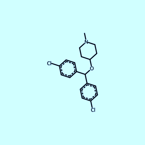 CN1CCC(OC(c2ccc(Cl)cc2)c2ccc(Cl)cc2)CC1